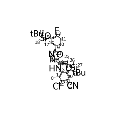 Cc1c(N[C@@H](c2nnc(-c3ccc(F)c(O[Si](C)(C)C(C)(C)C)c3)o2)[C@H](C)O[Si](C)(C)C(C)(C)C)ccc(C#N)c1Cl